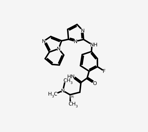 C[C@H](CC(=N)C(=O)c1ccc(Nc2nccc(-c3cnc4ccccn34)n2)cc1F)N(C)C